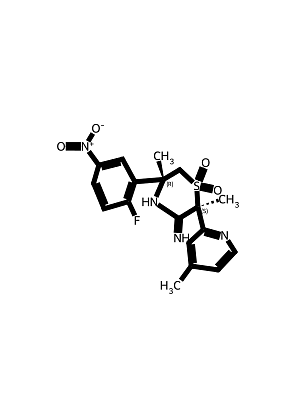 Cc1ccnc([C@@]2(C)C(=N)N[C@](C)(c3cc([N+](=O)[O-])ccc3F)CS2(=O)=O)c1